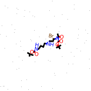 CC(=O)N(C(=O)OC(C)(C)C)C(Br)CCNCCCCNC(=O)OC(C)(C)C